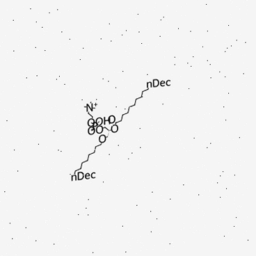 CCCCCCCCCCCCCCCCCCCC(=O)O[C@H](COCCCCCCCCCCCCCCCCCC)COP(=O)(O)OCC[N+](C)(C)C